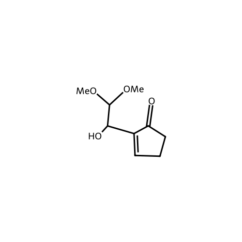 COC(OC)C(O)C1=CCCC1=O